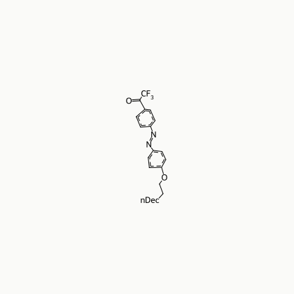 CCCCCCCCCCCCOc1ccc(N=Nc2ccc(C(=O)C(F)(F)F)cc2)cc1